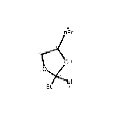 CCCC1COC(CC)(CC)O1